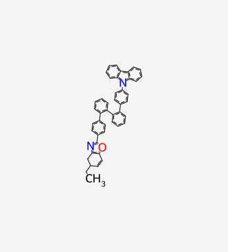 CCC1C=Cc2oc(-c3ccc(-c4ccccc4-c4ccccc4-c4ccc(-n5c6ccccc6c6ccccc65)cc4)cc3)nc2C1